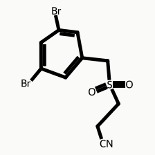 N#CCCS(=O)(=O)Cc1cc(Br)cc(Br)c1